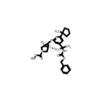 CC(C)(C)OC(=O)N1C[C@@H]2C(Oc3cc(C(C)(C)NC(=O)OCc4ccccc4)cc(C4(C)CCCC4)n3)[C@@H]2C1